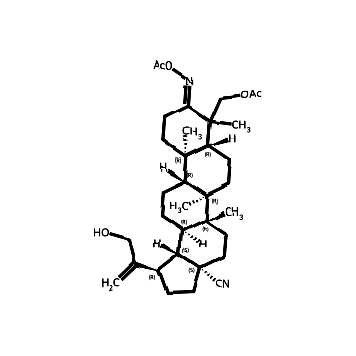 C=C(CO)[C@@H]1CC[C@]2(C#N)CC[C@]3(C)[C@H](CC[C@@H]4[C@@]5(C)CCC(=NOC(C)=O)C(C)(COC(C)=O)[C@@H]5CC[C@]43C)[C@@H]12